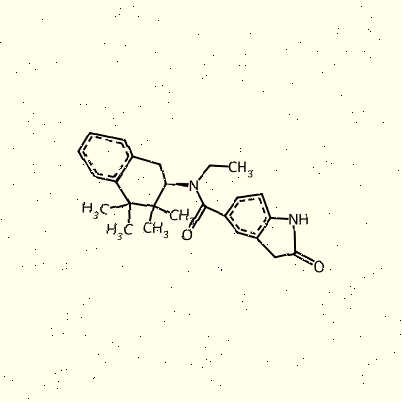 CCN(C(=O)c1ccc2c(c1)CC(=O)N2)[C@@H]1Cc2ccccc2C(C)(C)C1(C)C